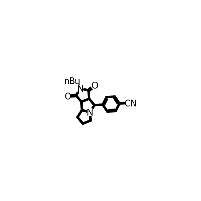 CCCCN1C(=O)C2C(C1=O)C(c1ccc(C#N)cc1)N1CCCC21